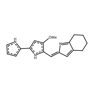 COc1cc(-c2ccc[nH]2)[nH]c1C=C1C=C2CCCCC2=N1